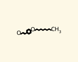 CCCCCCCCCCOc1ccc(C=CC=O)cc1